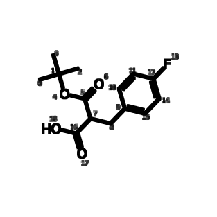 CC(C)(C)OC(=O)C(Cc1ccc(F)cc1)C(=O)O